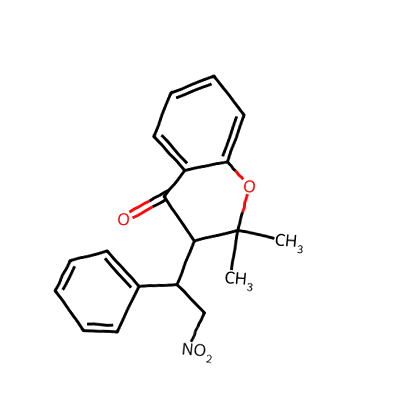 CC1(C)Oc2ccccc2C(=O)C1C(C[N+](=O)[O-])c1ccccc1